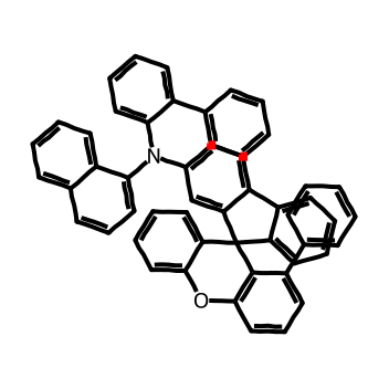 c1ccc(-c2ccccc2N(c2ccc3c(c2)C2(c4ccccc4Oc4cccc(-c5ccccc5)c42)c2ccccc2-3)c2cccc3ccccc23)cc1